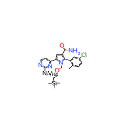 CNc1nccc(-c2cc(C(N)=O)c(-c3cc(Cl)ccc3C)n2COCC[Si](C)(C)C)n1